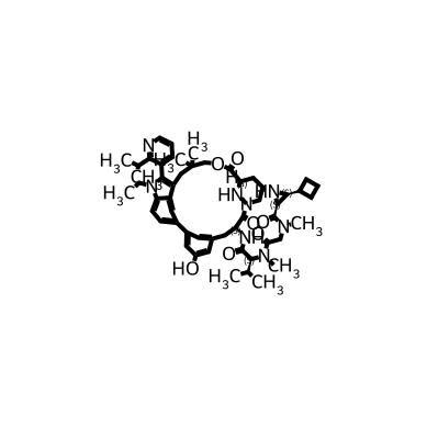 CCn1c(-c2cccnc2C(C)C)c2c3cc(ccc31)-c1cc(O)cc(c1)C[C@H](NC(=O)[C@H](C(C)C)N(C)C(=O)CN(C)C(=O)[C@H]1N[C@H]1C1CCC1)C(=O)N1CCC[C@H](N1)C(=O)OCC(C)(C)C2